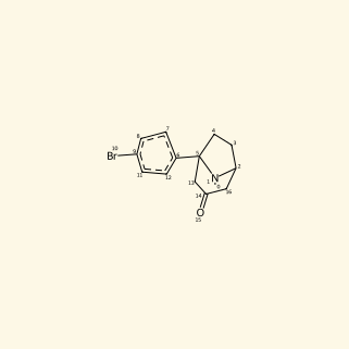 CN1C2CCC1(c1ccc(Br)cc1)CC(=O)C2